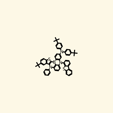 CC(C)(C)c1ccc(N(c2ccc(C(C)(C)C)cc2)c2ccc3c(c2)N(c2cccc4c2sc2ccccc24)c2cccc4c2B3c2sc3ccc(C(C)(C)C)cc3c2N4c2ccccc2)cc1